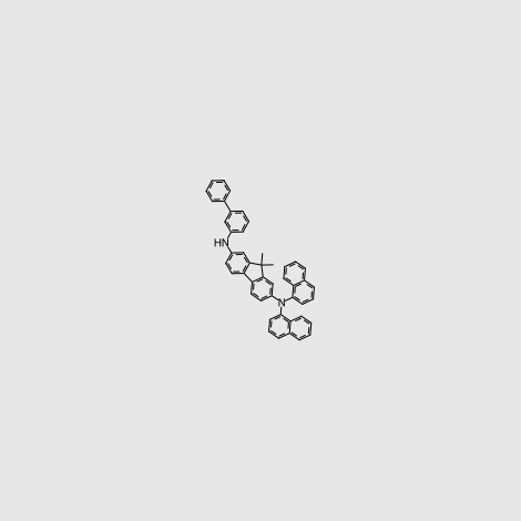 CC1(C)c2cc(Nc3cccc(-c4ccccc4)c3)ccc2-c2ccc(N(c3cccc4ccccc34)c3cccc4ccccc34)cc21